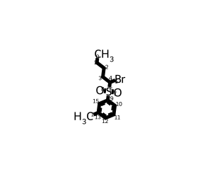 CCCCC(Br)S(=O)(=O)c1cccc(C)c1